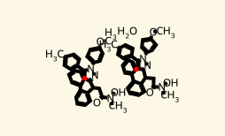 COc1ccc(-n2nc(C(CC(=O)N(C)O)c3ccccc3-c3ccccc3)cc2-c2ccc(C)cc2)cc1.COc1ccc(-n2nc(C(CC(=O)N(C)O)c3ccccc3-c3ccccc3)cc2-c2ccc(C)cc2)cc1.O